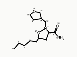 CCCCCC1CC(C(N)=O)N(CC2CCOC2)O1